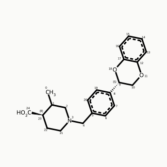 CC1CN(Cc2ccc([C@H]3COc4ccccc4O3)cc2)CC[C@H]1C(=O)O